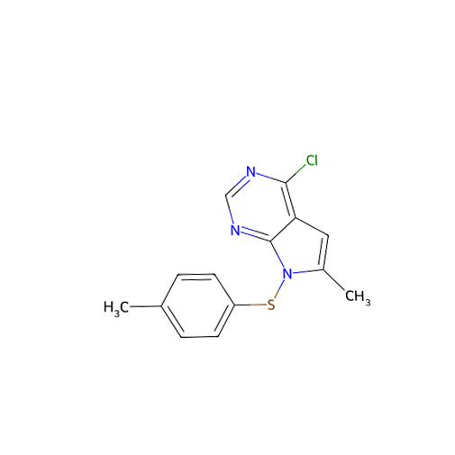 Cc1ccc(Sn2c(C)cc3c(Cl)ncnc32)cc1